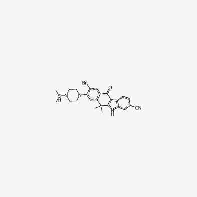 C[SH](C)N1CCN(c2cc3c(cc2Br)C(=O)c2c([nH]c4cc(C#N)ccc24)C3(C)C)CC1